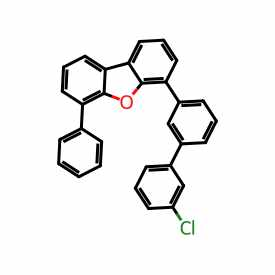 Clc1cccc(-c2cccc(-c3cccc4c3oc3c(-c5ccccc5)cccc34)c2)c1